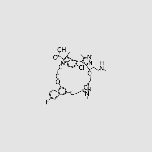 CNCCC1OCc2cc(n(C)n2)CCc2cc(c3ccc(F)cc3c2)OCCCn2c(C(=O)O)c(C)c3c(c(Cl)ccc32)-c2c1nn(C)c2C